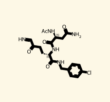 CC(=O)N[C@@H](CC(N)=O)C(=O)N[C@@H](CCC(=O)C=N)C(=O)NCc1ccc(Cl)cc1